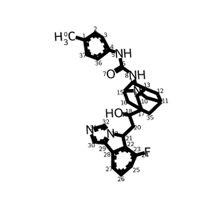 Cc1ccc(NC(=O)NN2CC3CC4CC2CC(C(O)CC2c5c(F)cccc5-c5cncn52)(C4)C3)cc1